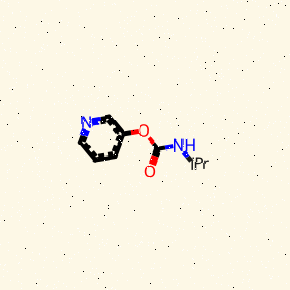 CC(C)NC(=O)Oc1cccnc1